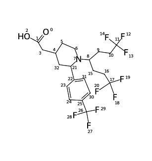 O=C(O)CC1CCN(C(CCC(F)(F)F)CCC(F)(F)F)C(c2ccc(C(F)(F)F)cc2)C1